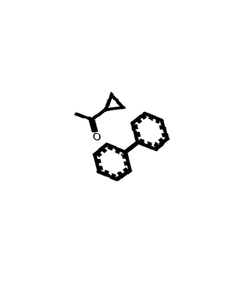 CC(=O)C1CC1.c1ccc(-c2ccccc2)cc1